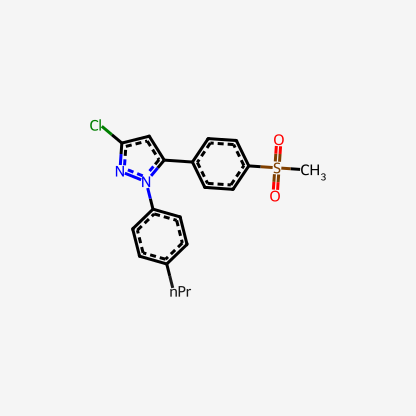 CCCc1ccc(-n2nc(Cl)cc2-c2ccc(S(C)(=O)=O)cc2)cc1